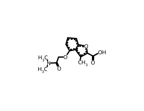 Cc1c(C(=O)O)oc2cccc(OCC(=O)N(C)C)c12